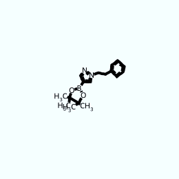 CC1(C)OB(c2cnn(CCc3ccccc3)c2)OC1(C)C